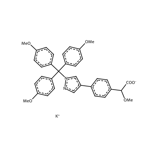 COc1ccc(C(c2ccc(OC)cc2)(c2ccc(OC)cc2)n2cc(-c3ccc(C(OC)C(=O)[O-])cc3)cn2)cc1.[K+]